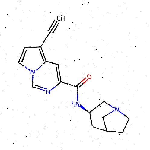 C#Cc1ccn2cnc(C(=O)N[C@@H]3CC4CCN(C4)C3)cc12